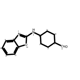 O=CC1CCC(Nc2nc3ccccc3o2)CC1